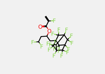 C=C(F)C(=O)OC(CC(F)F)CC12C(F)(F)C3(F)C(F)(F)C(F)(C(F)(F)C(F)(C3(F)F)C1(F)F)C2(F)F